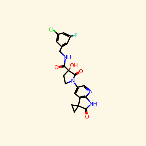 O=C1Nc2ncc(N3CC[C@](O)(C(=O)NCc4cc(F)cc(Cl)c4)C3=O)cc2C12CC2